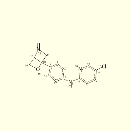 Clc1ccc(Nc2ccc(C34CNC3CO4)cc2)nc1